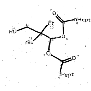 CCCCCCCC(=O)OC(OC(=O)CCCCCCC)C(CC)(CO)CCCC